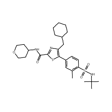 Cc1cc(-c2sc(C(=O)NC3CCOCC3)nc2CC2CCCCC2)ccc1S(=O)(=O)NC(C)(C)C